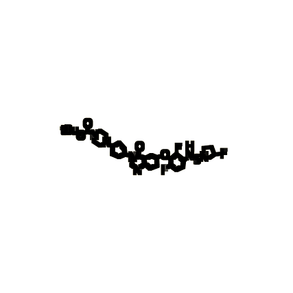 CC(C)(C)OC(=O)N1CCN(c2ccc(-n3cnc4ccc(Oc5c(F)ccc(NSN6CCC(F)C6)c5F)cc4c3=O)cc2)CC1